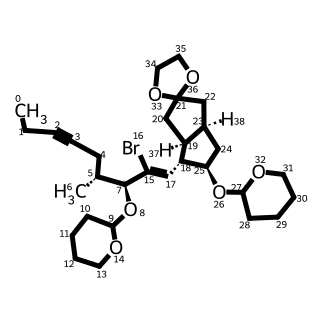 CCC#CC[C@@H](C)[C@H](OC1CCCCO1)C(Br)=C[C@@H]1[C@H]2CC3(C[C@H]2C[C@H]1OC1CCCCO1)OCCO3